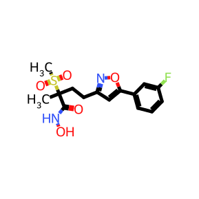 CC(CCc1cc(-c2cccc(F)c2)on1)(C(=O)NO)S(C)(=O)=O